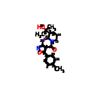 Cc1ccc(-c2oncc2C(=O)N2CCC[C@H](C(C)(C)O)C2I)cc1